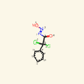 O=C(/N=N/O)C(Cl)(Cl)c1ccccc1